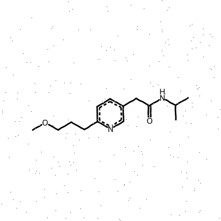 COCCCc1ccc(CC(=O)NC(C)C)cn1